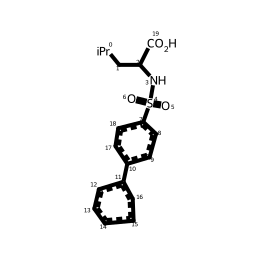 CC(C)CC(NS(=O)(=O)c1ccc(-c2ccccc2)cc1)C(=O)O